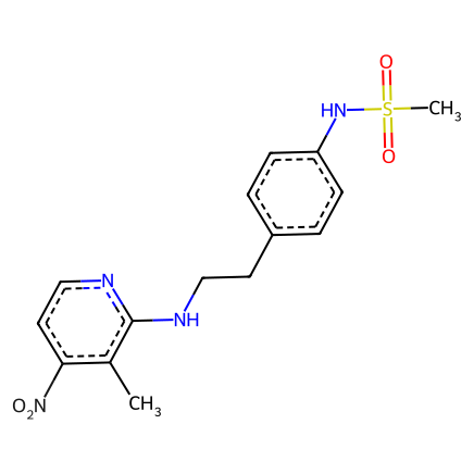 Cc1c([N+](=O)[O-])ccnc1NCCc1ccc(NS(C)(=O)=O)cc1